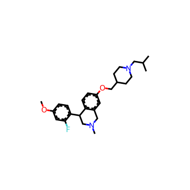 COc1ccc(C2CN(C)Cc3cc(OCC4CCN(CC(C)C)CC4)ccc32)c(F)c1